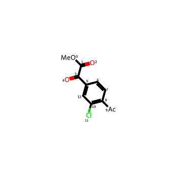 COC(=O)C(=O)c1ccc(C(C)=O)c(Cl)c1